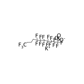 O=S(=O)([O-])C(F)(F)C(F)(F)C(F)(F)C(F)(F)C(F)(F)C(F)(F)C(F)(F)CCCC(F)(F)F.[K+]